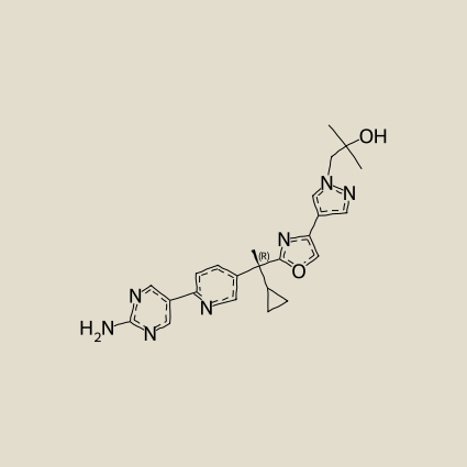 CC(C)(O)Cn1cc(-c2coc([C@@](C)(c3ccc(-c4cnc(N)nc4)nc3)C3CC3)n2)cn1